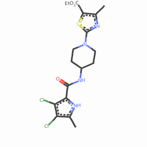 CCOC(=O)c1sc(N2CCC(NC(=O)c3[nH]c(C)c(Cl)c3Cl)CC2)nc1C